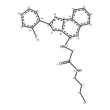 CCCCNC(=O)CNc1nc2ccccc2c2nc(-c3ccncc3F)nn12